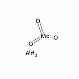 [AlH3].[O]=[Mo](=[O])=[O]